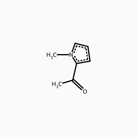 CC(=O)c1cccn1C